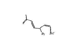 C=C(C)/C=C/C(/C=C\C(C)=O)C(C)C